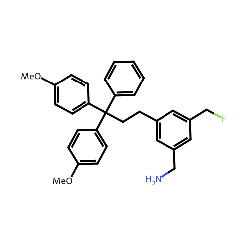 COc1ccc(C(CCc2cc(CN)cc(CF)c2)(c2ccccc2)c2ccc(OC)cc2)cc1